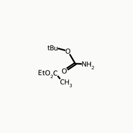 CC(C)(C)OC(N)=O.CCOC(C)=O